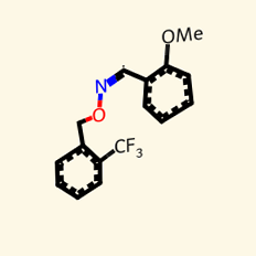 COc1ccccc1/[C]=N\OCc1ccccc1C(F)(F)F